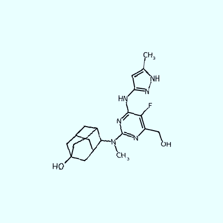 Cc1cc(Nc2nc(N(C)C3C4CC5CC3CC(O)(C5)C4)nc(CO)c2F)n[nH]1